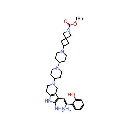 CC(C)(C)OC(=O)N1CC2(CC(N3CCC(N4CCC(N5CCc6[nH]c(N)c(/C=C(\N)c7ccccc7O)c6C5)CC4)CC3)C2)C1